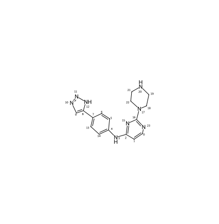 c1cc(Nc2ccc(-c3cnn[nH]3)cc2)nc(N2CCNCC2)n1